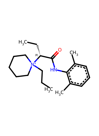 CCC[N+]1([C@H](CC)C(=O)Nc2c(C)cccc2C)CCCCC1